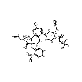 C=CCOC(=O)C1(Cc2ccccc2[N+](=O)[O-])CCc2c(nc(Cl)nc2N2CCN(C(=O)OC(C)(C)C)[C@@H](CC#N)C2)C1O